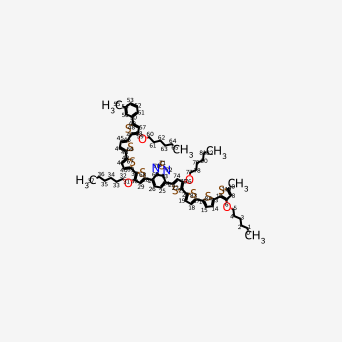 CCCCCCOc1cc(C)sc1-c1ccc(-c2ccc(-c3sc(-c4ccc(-c5cc(OCCCCCC)c(-c6ccc(-c7ccc(-c8sc(-c9cccc(C)c9)cc8OCCCCCC)s7)s6)s5)c5nsnc45)cc3OCCCCCC)s2)s1